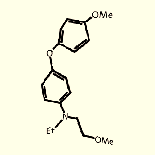 CCN(CCOC)c1ccc(Oc2ccc(OC)cc2)cc1